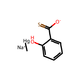 [CH3][Hg].[Na+].[O-]C(=S)c1ccccc1O